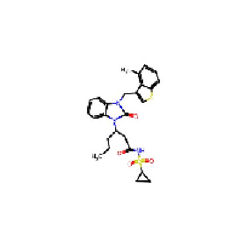 CCCC(CC(=O)NS(=O)(=O)C1CC1)n1c(=O)n(Cc2csc3cccc(C)c23)c2ccccc21